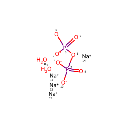 O.O.O=P([O-])([O-])OP(=O)([O-])[O-].[Na+].[Na+].[Na+].[Na+]